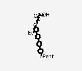 C=C(CO)C(=O)OCCOc1ccc(C2CCC(C3CCC(C4CCC(CCCCC)CC4)CC3)CC2)c(CC)c1